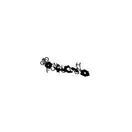 Cc1c(Oc2ccc(S(C)(=O)=O)cc2F)ncnc1OC1CCN(CC(=O)Nc2ccccc2)CC1